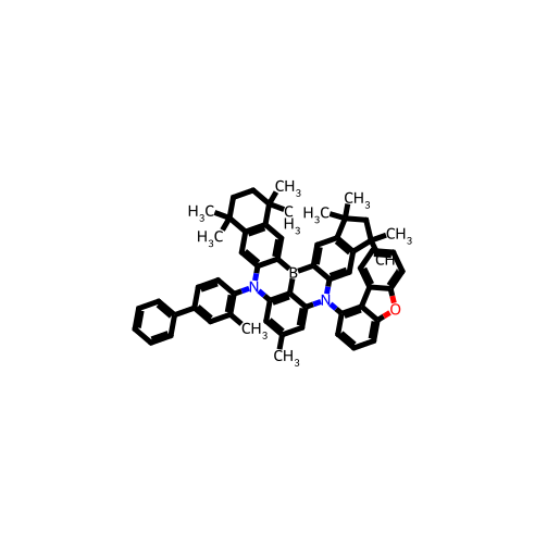 Cc1cc2c3c(c1)N(c1cccc4oc5ccccc5c14)c1cc4c(cc1B3c1cc3c(cc1N2c1ccc(-c2ccccc2)cc1C)C(C)(C)CCC3(C)C)C(C)(C)CC4(C)C